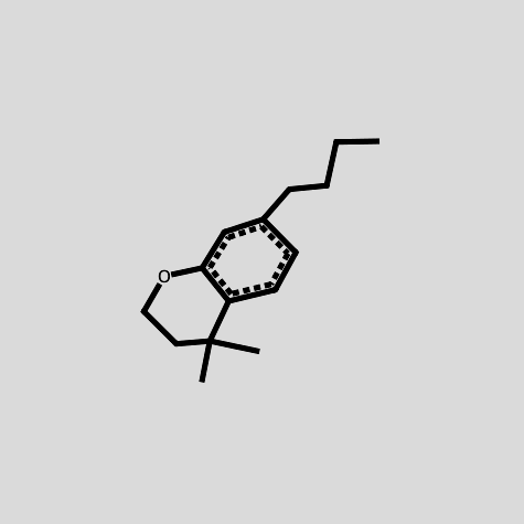 CCCCc1ccc2c(c1)OCCC2(C)C